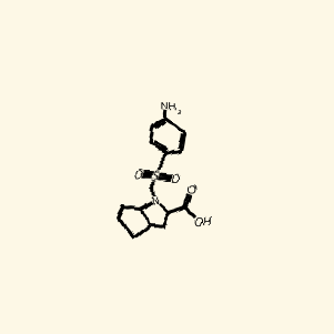 Nc1ccc(S(=O)(=O)N2C(C(=O)O)CC3CCCC32)cc1